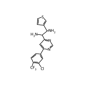 NC(c1ccsc1)C(N)c1cc(-c2ccc(C(F)(F)F)c(Cl)c2)ncn1